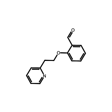 O=Cc1ccccc1OCCc1ccccn1